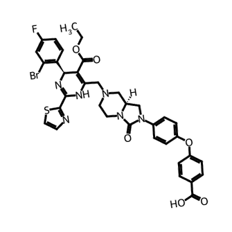 CCOC(=O)C1=C(CN2CCN3C(=O)N(c4ccc(Oc5ccc(C(=O)O)cc5)cc4)C[C@@H]3C2)NC(c2nccs2)=N[C@H]1c1ccc(F)cc1Br